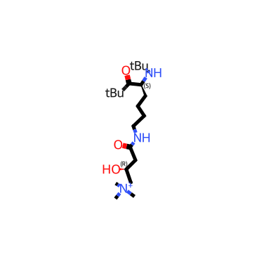 CC(C)(C)N[C@@H](CCCCNC(=O)C[C@@H](O)C[N+](C)(C)C)C(=O)C(C)(C)C